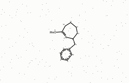 COC1=NC(Cc2ccccc2)CCCC1